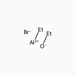 CC[O-].C[CH2][Al+2].[Br-]